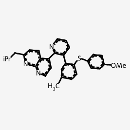 COc1ccc(Sc2ccc(C)cc2-c2cccnc2-c2ccnc3nc(CC(C)C)ccc23)cc1